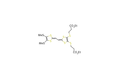 CCOC(=O)CCSC1=C(SCCC(=O)OCC)SC(=CC=C2SC(SC)=C(SC)S2)S1